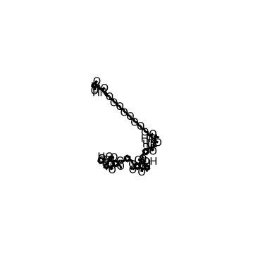 COc1cc2c(cc1OCc1cccc(COc3cc4c(cc3OC)C(=O)N3CCC[C@H]3[C@H](OC3CCCCO3)N4C(=O)O)c1)N(C(=O)OCc1ccc(NC(=O)[C@H](C)NC(=O)[C@@H](NC(=O)CCOCCOCCOCCOCCOCCOCCOCCOCCNC(=O)CCN3C(=O)C=CC3=O)C(C)C)cc1)[C@@H](O)[C@@H]1CCCN1C2=O